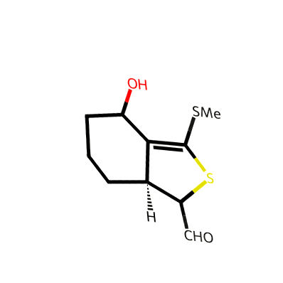 CSC1=C2C(O)CCC[C@@H]2C(C=O)S1